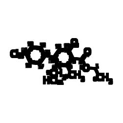 CCOC(=O)c1c(C)n(C)c(-c2ccc(Cl)cc2)cc1=O.Cl